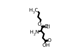 CCCCOC(=O)C(N)CCC(=O)O.Cl